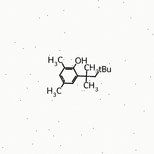 Cc1cc(C)c(O)c(C(C)(C)CC(C)(C)C)c1